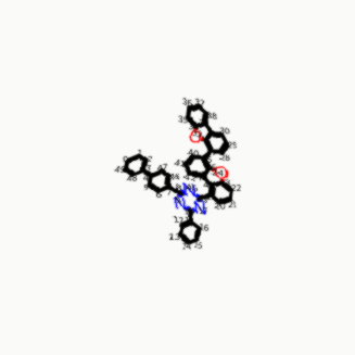 c1ccc(-c2ccc(-c3nc(-c4ccccc4)nc(-c4cccc5oc6c(-c7cccc8c7oc7ccccc78)cccc6c45)n3)cc2)cc1